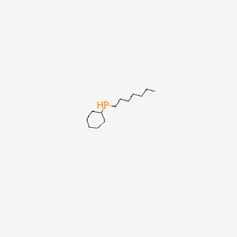 CCCCCCCPC1CCCCC1